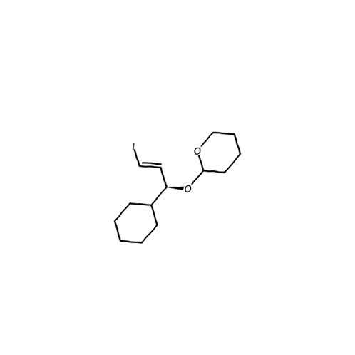 I/C=C/[C@@H](OC1CCCCO1)C1CCCCC1